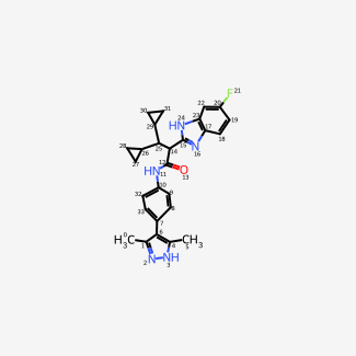 Cc1n[nH]c(C)c1-c1ccc(NC(=O)C(c2nc3ccc(F)cc3[nH]2)C(C2CC2)C2CC2)cc1